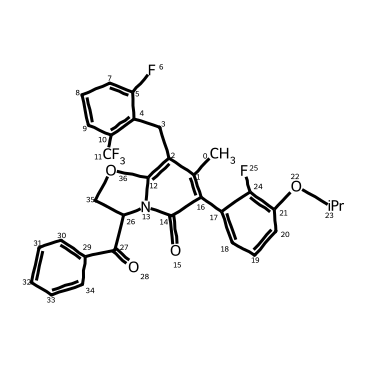 Cc1c(Cc2c(F)cccc2C(F)(F)F)c2n(c(=O)c1-c1cccc(OC(C)C)c1F)C(C(=O)c1ccccc1)CO2